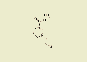 COC(=O)C1=CN(CCO)CCC1